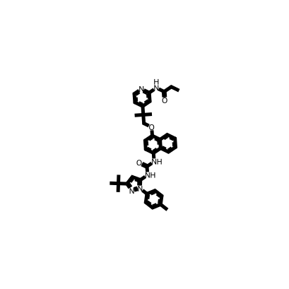 CCC(=O)Nc1cc(C(C)(C)COc2ccc(NC(=O)Nc3cc(C(C)(C)C)nn3-c3ccc(C)cc3)c3ccccc23)ccn1